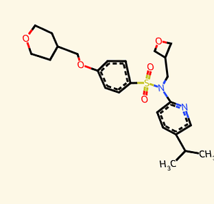 CC(C)c1ccc(N(CC2COC2)S(=O)(=O)c2ccc(OCC3CCOCC3)cc2)nc1